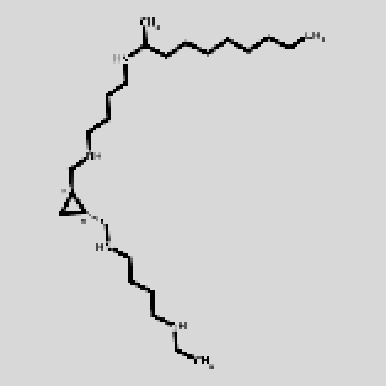 CCCCCCCCC(C)NCCCCNC[C@@H]1C[C@H]1CNCCCCNCC